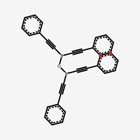 C(#Cc1ccccc1)B(C#Cc1ccccc1)OB(C#Cc1ccccc1)C#Cc1ccccc1